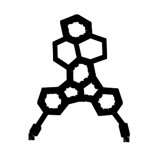 N#Cc1ccc2c3c4c5c(c6c7ccc(C#N)cc7n(c2c1)c36)CCc1cccc(c1-5)CC4